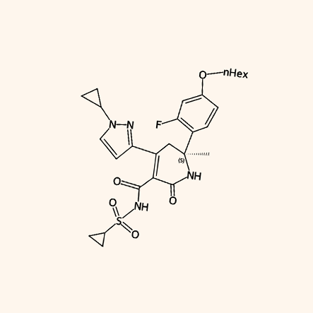 CCCCCCOc1ccc([C@]2(C)CC(c3ccn(C4CC4)n3)=C(C(=O)NS(=O)(=O)C3CC3)C(=O)N2)c(F)c1